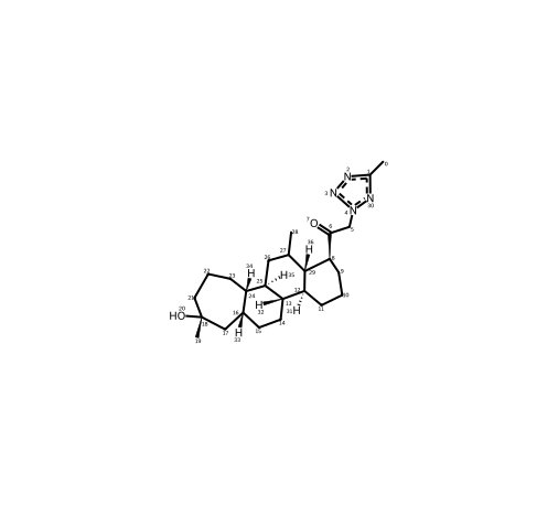 Cc1nnn(CC(=O)[C@H]2CCC[C@H]3[C@@H]4CC[C@@H]5C[C@](C)(O)CCC[C@@H]5[C@H]4CC(C)[C@@H]32)n1